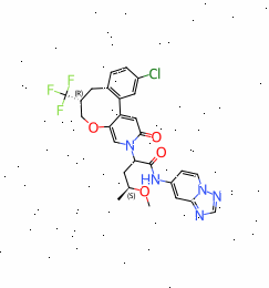 CO[C@@H](C)CC(C(=O)Nc1ccn2ncnc2c1)n1cc2c(cc1=O)-c1cc(Cl)ccc1C[C@@H](C(F)(F)F)CO2